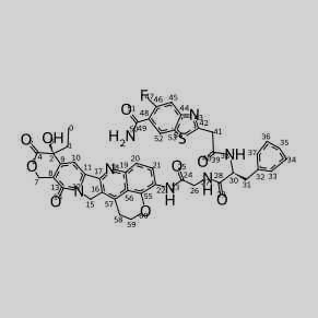 CC[C@@]1(O)C(=O)OCc2c1cc1n(c2=O)Cc2c-1nc1ccc(NC(=O)CNC(=O)[C@H](Cc3ccccc3)NC(=O)Cc3nc4cc(F)c(C(N)=O)cc4s3)c3c1c2CCO3